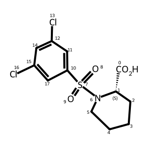 O=C(O)[C@@H]1CCCCN1S(=O)(=O)c1cc(Cl)cc(Cl)c1